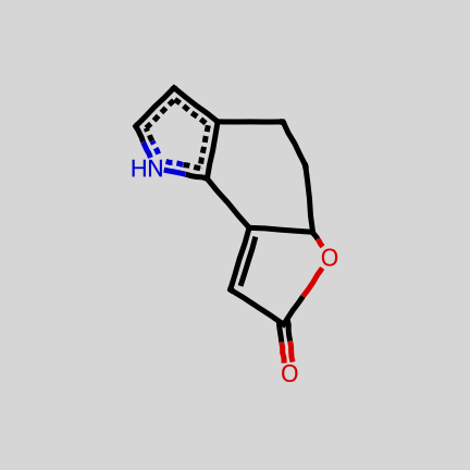 O=C1C=C2c3[nH]ccc3CCC2O1